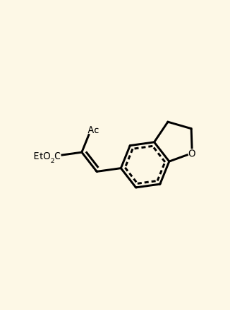 CCOC(=O)C(=Cc1ccc2c(c1)CCO2)C(C)=O